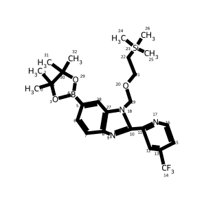 CC1(C)OB(c2ccc3nc(-c4cc(C(F)(F)F)ccn4)n(COCC[Si](C)(C)C)c3c2)OC1(C)C